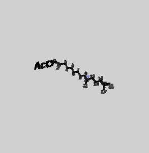 CC(=O)OC=CCCCCCC/C=C(\C)CCC=C(C)C